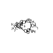 CC(C)CC1CC(C)CC(C)CC(CC(C)C)OC(=O)OCCN(CC(C)OC(=O)C(C)(C)Br)CCOC(=O)O1